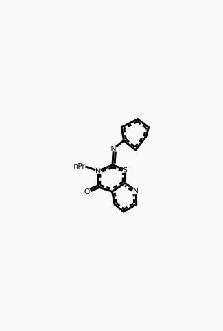 CCCn1c(=O)c2cccnc2s/c1=N\c1ccccc1